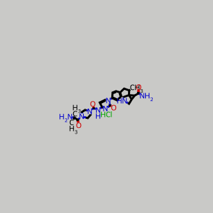 CC(Cc1ccc(-n2ccc(NC(=O)N3CCN(C(=O)C(C)(C)N)CC3)nc2=O)cc1)C12CNCC1C2C(N)=O.Cl